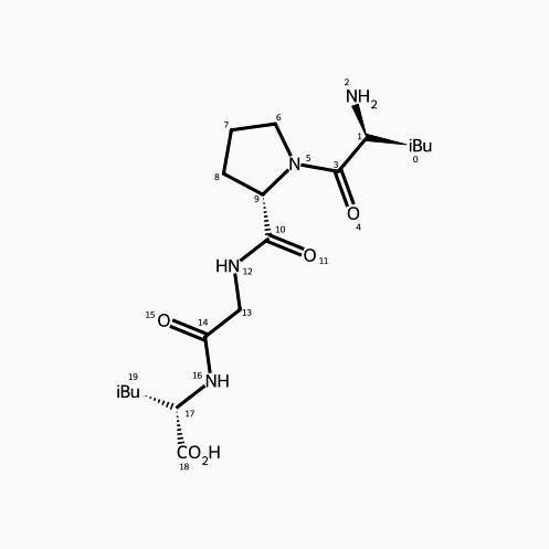 CC[C@H](C)[C@H](N)C(=O)N1CCC[C@H]1C(=O)NCC(=O)N[C@H](C(=O)O)[C@@H](C)CC